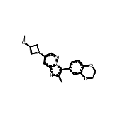 COC1CN(c2cnn3c(-c4ccc5c(c4)OCCO5)c(C)nc3c2)C1